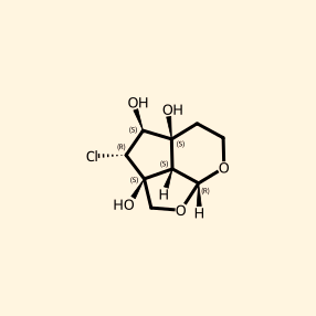 O[C@@H]1[C@@H](Cl)[C@@]2(O)CO[C@H]3OCC[C@]1(O)[C@H]32